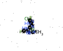 CCN1CC[C@H](n2cc(C(Nc3cc(Cl)c4ncc(C#N)c(Nc5ccc(F)c(Cl)c5)c4c3)c3ccc(F)cc3)nn2)C1